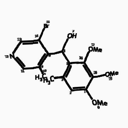 COc1cc(C)c(C(O)c2c(C)cncc2Br)c(OC)c1OC